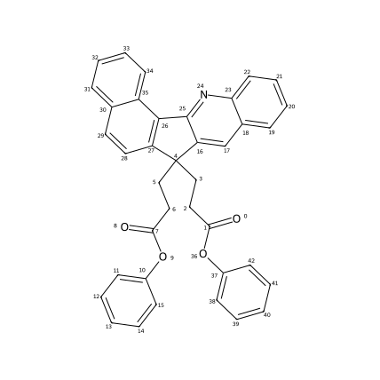 O=C(CCC1(CCC(=O)Oc2ccccc2)c2cc3ccccc3nc2-c2c1ccc1ccccc21)Oc1ccccc1